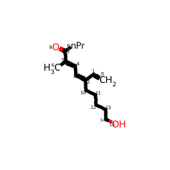 C=C/C(=C\C=C(/C)C(=O)CCC)CCCCCO